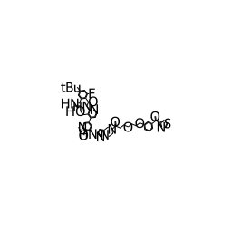 Cn1cc(-c2ccnc(NC(=O)c3c(F)cc(C(C)(C)C)cc3C=N)c2CO)cc(Nc2cc3n(n2)CCN(C(=O)CCOCCOc2cccc(C(=O)c4cscn4)c2)C3)c1=O